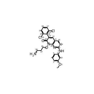 COc1cccc(Nc2ncc3cc(-c4c(Cl)cccc4Cl)c(=O)n(OCCCN)c3n2)c1